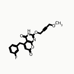 COCC#CCOc1nc2oc(=O)cc(Cc3cccc(F)c3)c2c(=O)[nH]1